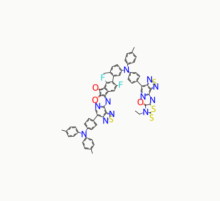 CCN1C(=O)/C(=N\c2ncc(-c3ccc(N(c4ccc(C)cc4)c4ccc(C)c(-c5c(F)cc6/c(=N/c7ncc(-c8ccc(N(c9ccc(C)cc9)c9ccc(C)cc9)cc8)c8nsnc78)c(=O)c(=O)c6c5F)c4)cc3)c3nsnc23)SC1=S